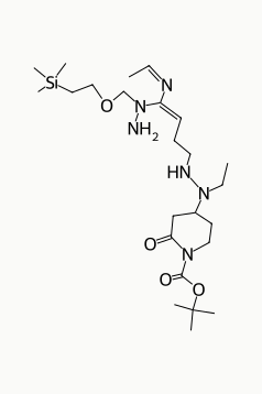 C/C=N\C(=C\CCNN(CC)C1CCN(C(=O)OC(C)(C)C)C(=O)C1)N(N)COCC[Si](C)(C)C